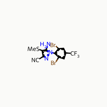 CSc1c(C#N)nn(-c2c(Br)cc(C(F)(F)F)cc2Br)c1N